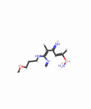 C=N/C(NCCCOC)=C(/C)C(=N)/C=C(\C)ON